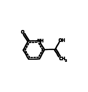 C=C(O)c1cccc(=O)[nH]1